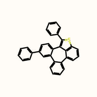 c1ccc(-c2ccc3c(c2)-c2ccccc2-c2cccc4sc(-c5ccccc5)c-3c24)cc1